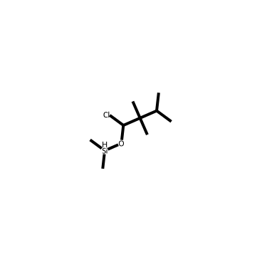 CC(C)C(C)(C)C(Cl)O[SiH](C)C